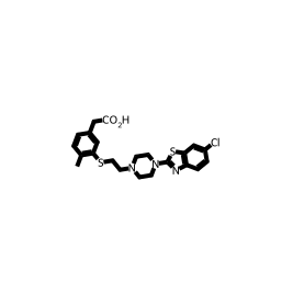 Cc1ccc(CC(=O)O)cc1SCCN1CCN(c2nc3ccc(Cl)cc3s2)CC1